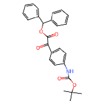 CC(C)(C)OC(=O)Nc1ccc(C(=O)C(=O)OC(c2ccccc2)c2ccccc2)cc1